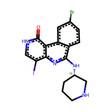 O=c1[nH]cc(I)c2nc(N[C@H]3CCCNC3)c3ccc(Br)cc3c12